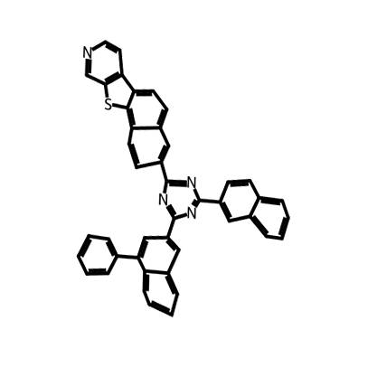 c1ccc(-c2cc(-c3nc(-c4ccc5ccccc5c4)nc(-c4ccc5c(ccc6c7ccncc7sc56)c4)n3)cc3ccccc23)cc1